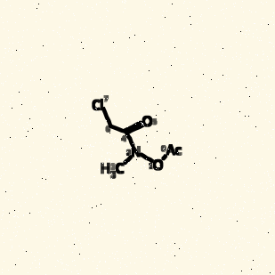 CC(=O)ON(C)C(=O)CCl